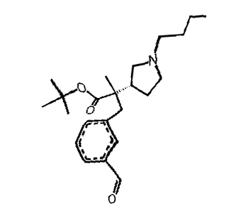 CCCCN1CC[C@H](C(C)(Cc2cccc(C=O)c2)C(=O)OC(C)(C)C)C1